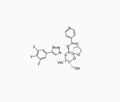 O=C(O[C@@H]1[C@@H](n2cc(-c3cc(F)c(F)c(F)c3)nn2)[C@@H](O)[C@@H](CO)O[C@@]12CCCO2)c1ccncc1